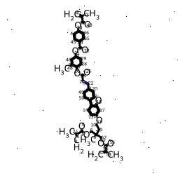 C=C(C)C(=O)OCC(C)(CCOc1ccc2c(c1)oc1cc(/C=C/C(=O)Oc3ccc(OC(=O)c4ccc(OC(=O)C(=C)C)cc4)cc3C)ccc12)COC(=O)C(=C)C